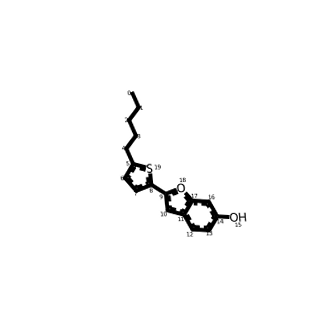 CCCCCc1ccc(-c2cc3ccc(O)cc3o2)s1